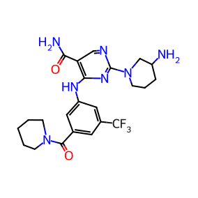 NC(=O)c1cnc(N2CCCC(N)C2)nc1Nc1cc(C(=O)N2CCCCC2)cc(C(F)(F)F)c1